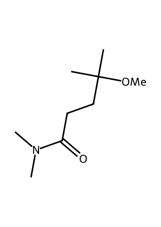 COC(C)(C)CCC(=O)N(C)C